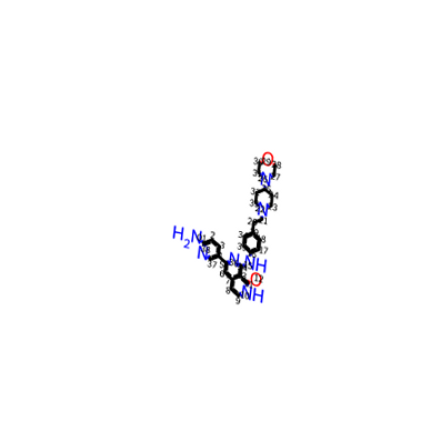 Nc1ccc(-c2cc3cc[nH]c(=O)c3c(Nc3ccc(CCN4CCC(N5CCOCC5)CC4)cc3)n2)cn1